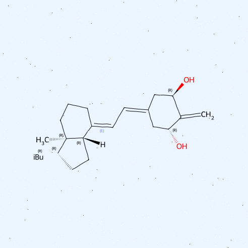 C=C1[C@H](O)CC(=C/C=C2\CCC[C@]3(C)[C@@H]([C@H](C)CC)CC[C@@H]23)C[C@H]1O